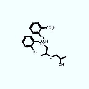 CC(O)COC(C)CO.CCc1ccccc1C(=O)O.CCc1ccccc1C(=O)O